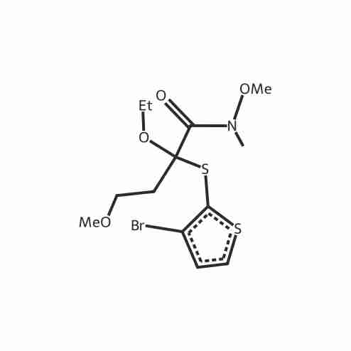 CCOC(CCOC)(Sc1sccc1Br)C(=O)N(C)OC